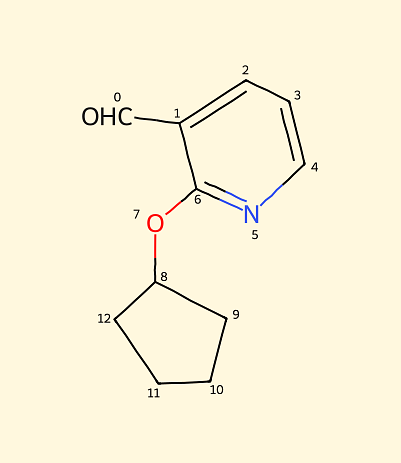 O=Cc1cccnc1OC1CCCC1